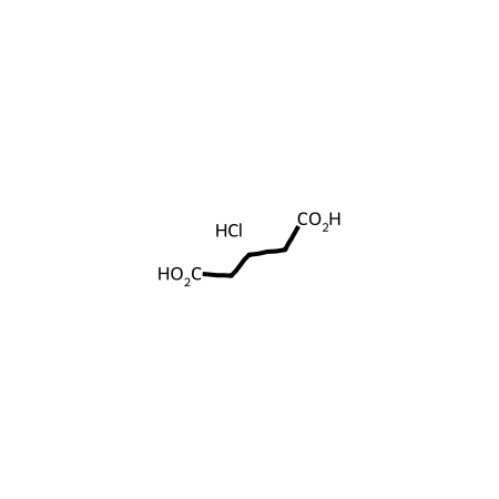 Cl.O=C(O)CCCC(=O)O